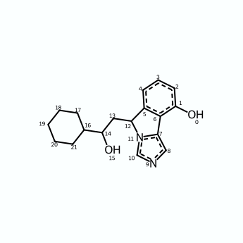 Oc1cccc2c1-c1cncn1C2CC(O)C1CCCCC1